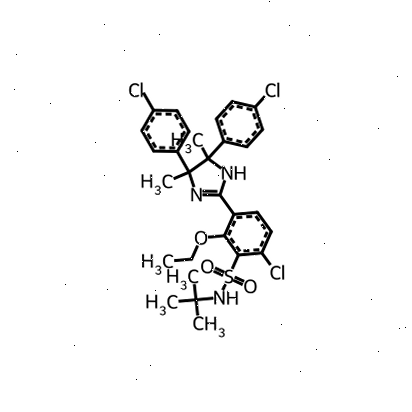 CCOc1c(C2=NC(C)(c3ccc(Cl)cc3)C(C)(c3ccc(Cl)cc3)N2)ccc(Cl)c1S(=O)(=O)NC(C)(C)C